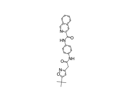 CC(C)(C)c1cc(CC(=O)Nc2ccc(NC(=O)c3cc4ccccc4cn3)cc2)no1